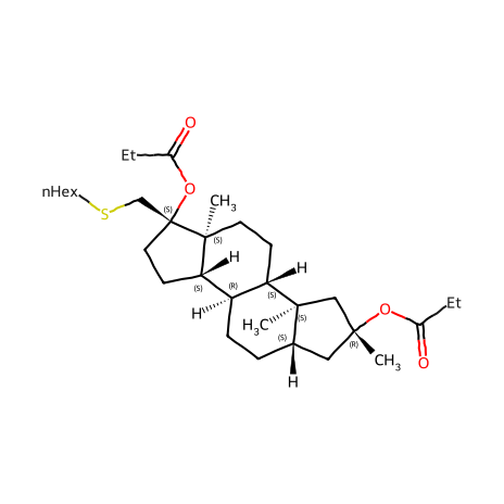 CCCCCCSC[C@]1(OC(=O)CC)CC[C@H]2[C@@H]3CC[C@H]4C[C@@](C)(OC(=O)CC)C[C@]4(C)[C@H]3CC[C@@]21C